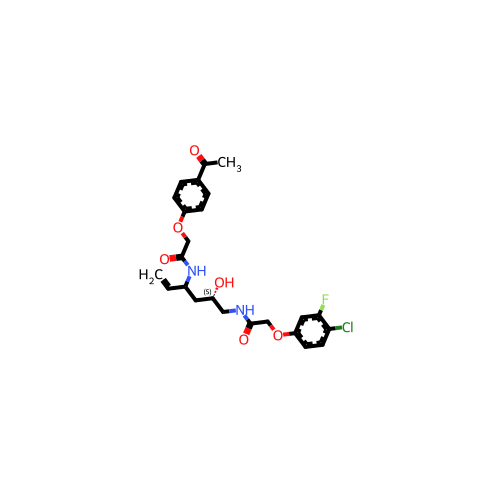 C=CC(C[C@H](O)CNC(=O)COc1ccc(Cl)c(F)c1)NC(=O)COc1ccc(C(C)=O)cc1